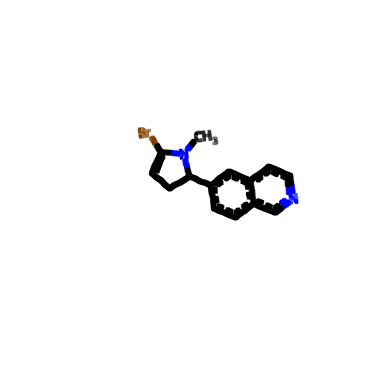 CN1C(Br)=CCC1c1ccc2cnccc2c1